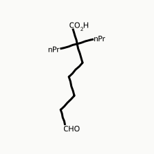 CCCC(CCC)(CCCCC=O)C(=O)O